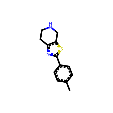 Cc1ccc(-c2nc3c(s2)CNCC3)cc1